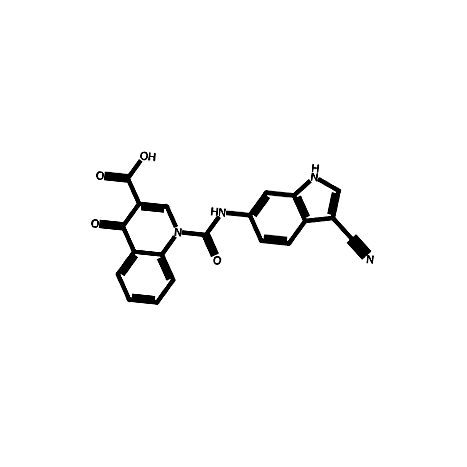 N#Cc1c[nH]c2cc(NC(=O)n3cc(C(=O)O)c(=O)c4ccccc43)ccc12